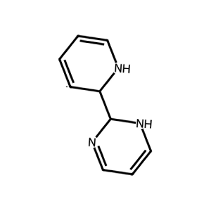 [C]1=CC=CNC1C1N=CC=CN1